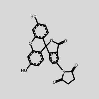 O=C1OC2(c3ccc(O)cc3Oc3cc(O)ccc32)c2ccc(N3C(=O)[CH]CC3=O)cc21